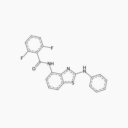 O=C(Nc1cccc2sc(Nc3ccccc3)nc12)c1c(F)cccc1F